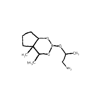 CC(CN)OB1OC(C)C2(C)CCCC2O1